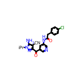 CC(C)n1nc(C(=O)c2cncc(NC(=O)Cc3ccc(Cl)cc3)c2)c(C#N)c1N